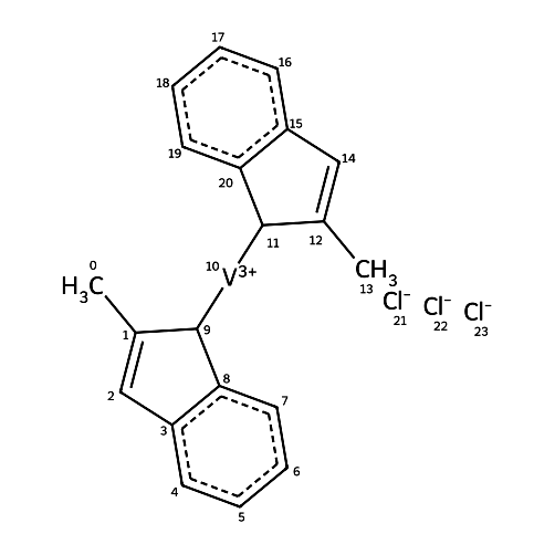 CC1=Cc2ccccc2[CH]1[V+3][CH]1C(C)=Cc2ccccc21.[Cl-].[Cl-].[Cl-]